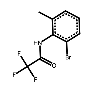 Cc1cccc(Br)c1NC(=O)C(F)(F)F